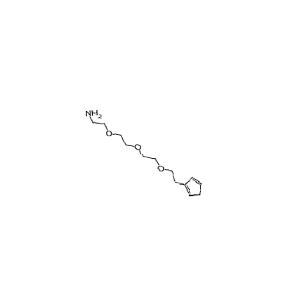 NCCOCCOCCOCCC1=CCC=C1